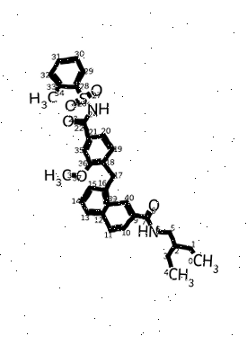 CCC(CC)CNC(=O)c1ccc2cccc(Cc3ccc(C(=O)NS(=O)(=O)c4ccccc4C)cc3OC)c2c1